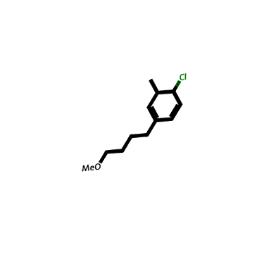 COCCCCC1=CC(C)C(Cl)C=C1